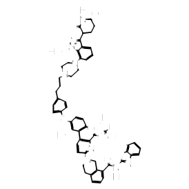 Cc1c(Oc2ccc(CCCN3CCN(c4cccc5c(C6CCC(=O)NC6=O)nn(C)c45)CC3)cc2)cccc1-c1ccc(N2CCc3cccc(C(=O)Nc4nc5ccccc5s4)c3C2)nc1C(=O)OC(C)(C)C